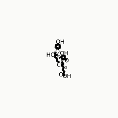 CCCCCC(O)(COc1ccc(O)cc1)CS[C@H]1C(O)CC(=O)[C@@H]1CC=CCCCC(=O)O